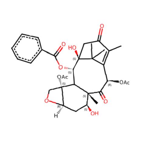 CC(=O)O[C@H]1C(=O)[C@@]2(C)C([C@H](OC(=O)c3ccccc3)[C@]3(O)CC(=O)C(C)=C1C3(C)C)[C@]1(OC(C)=O)CO[C@@H]1C[C@@H]2O